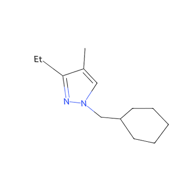 CCc1nn(CC2CCCCC2)cc1C